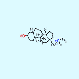 CN(C)[C@H]1CC[C@H]2[C@@H]3CC[C@H]4C[C@H](O)CC[C@]4(C)[C@H]3CC[C@]12C